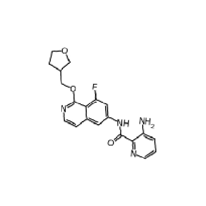 Nc1cccnc1C(=O)Nc1cc(F)c2c(OCC3CCOC3)nccc2c1